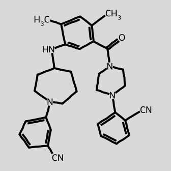 Cc1cc(C)c(C(=O)N2CCN(c3ccccc3C#N)CC2)cc1NC1CCCN(c2cccc(C#N)c2)CC1